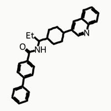 CCC(NC(=O)c1ccc(-c2ccccc2)cc1)C1CCC(c2cnc3ccccc3c2)CC1